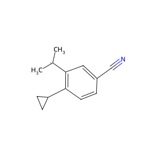 C[C](C)c1cc(C#N)ccc1C1CC1